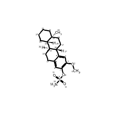 COc1cc2c(cc1OS(N)(=O)=O)CC[C@@H]1[C@@H]2CC[C@]2(C)CCCC[C@@H]12